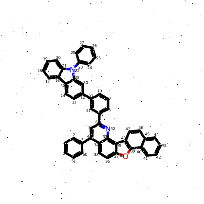 c1ccc(-c2cc(-c3cccc(-c4ccc5c6ccccc6n(-c6ccccc6)c5c4)c3)nc3c2ccc2oc4c5ccccc5ccc4c23)cc1